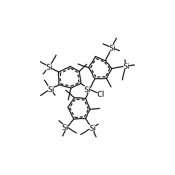 Cc1cc([Si](C)(C)C)c([Si](C)(C)C)c(C)c1[Si](Cl)(c1c(C)cc([Si](C)(C)C)c([Si](C)(C)C)c1C)c1c(C)cc([Si](C)(C)C)c([Si](C)(C)C)c1C